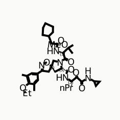 CCC[C@H](NC(=O)[C@@H]1C[C@]2(CC(c3cc(C)c(OCC)c(C)c3)=NO2)CN1C(=O)[C@@H](NC(=O)CC1CCCCC1)C(C)(C)OC)C(=O)C(=O)NC1CC1